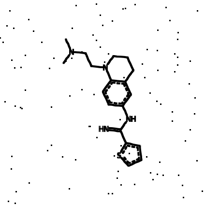 CN(C)CCN1CCCc2cc(NC(=N)c3cccs3)ccc21